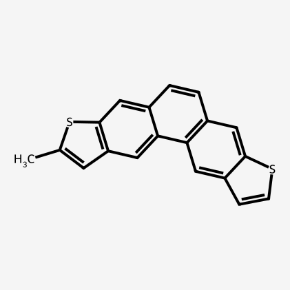 Cc1cc2cc3c(ccc4cc5sccc5cc43)cc2s1